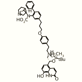 CC(C)(C)[Si](C)(C)O[C@@H](CNCCc1ccc(OCCCc2ccc(-c3ccccc3)c(N(C(=O)O)[C@H]3CN4CCC3CC4)c2)cc1)c1ccc(O)c2[nH]c(=O)ccc12